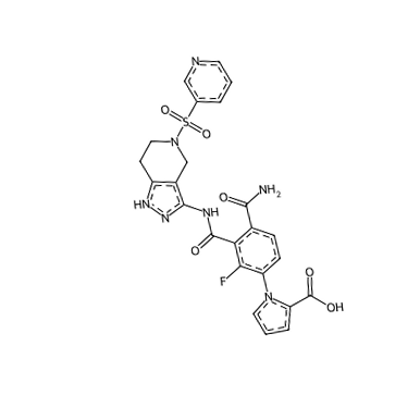 NC(=O)c1ccc(-n2cccc2C(=O)O)c(F)c1C(=O)Nc1n[nH]c2c1CN(S(=O)(=O)c1cccnc1)CC2